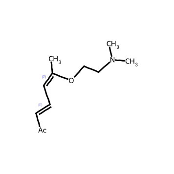 CC(=O)/C=C/C=C(/C)OCCN(C)C